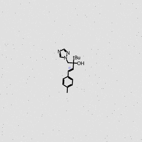 Cc1ccc(/C=C/C(O)(Cn2cncn2)C(C)(C)C)cc1